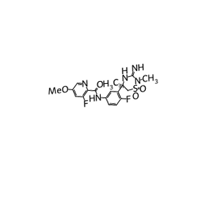 COc1cnc(C(=O)Nc2ccc(F)c([C@]3(C)CS(=O)(=O)N(C)C(=N)N3)c2)c(F)c1